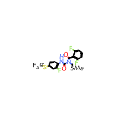 CSCN(C(=O)Nc1ccc(SC(F)(F)F)cc1F)C(=O)c1c(F)cccc1F